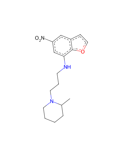 CC1CCCCN1CCCNc1cc([N+](=O)[O-])cc2ccoc12